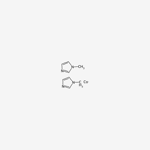 Cn1ccnc1.Cn1ccnc1.[Co]